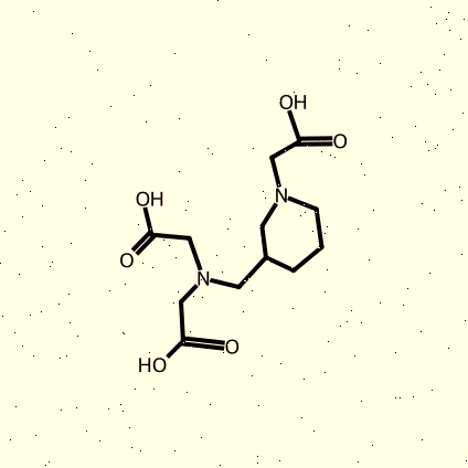 O=C(O)CN1CCCC(CN(CC(=O)O)CC(=O)O)C1